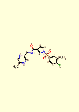 Cc1cnc(CNC(=O)c2ccn(S(=O)(=O)c3ccc(F)c(C)c3)c2)cn1